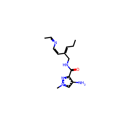 C\C=N/C=C\C(=C\CC)CNC(=O)c1nn(C)cc1N